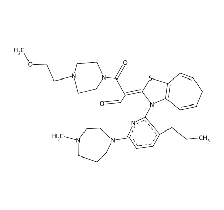 CCCc1ccc(N2CCCN(C)CC2)nc1N1C2=C(C=CCC=C2)S/C1=C(/C=O)C(=O)N1CCN(CCOC)CC1